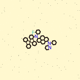 Fc1ccccc1N(c1cccc2c1-c1ccccc1C21c2ccccc2-c2ccccc21)c1ccc2ccc3c(N(c4ccccc4)c4ccccn4)ccc4ccc1c2c43